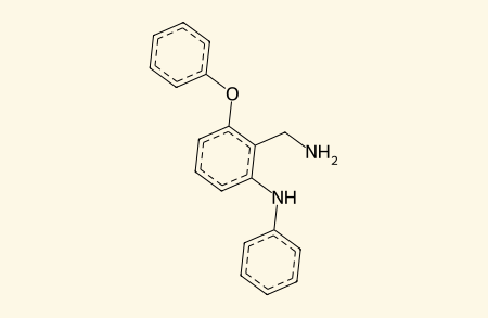 NCc1c(Nc2ccccc2)cccc1Oc1ccccc1